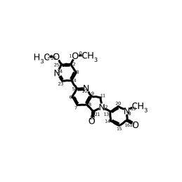 COc1cc(-c2ccc3c(n2)CN(c2ccc(=O)n(C)c2)C3=O)cnc1OC